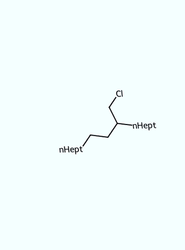 CCCCCCCCCC(CCl)CCCCCCC